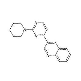 c1ccc2ncc(-c3ccnc(N4CCCCC4)n3)cc2c1